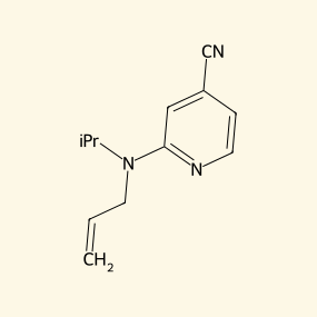 C=CCN(c1cc(C#N)ccn1)C(C)C